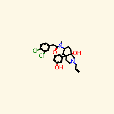 C=CCN1CCC2(c3cccc(O)c3)CC(N(C)C(=O)Cc3ccc(Cl)c(Cl)c3)CCC2(O)C1